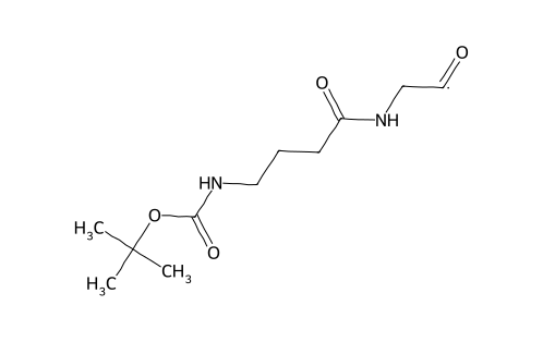 CC(C)(C)OC(=O)NCCCC(=O)NC[C]=O